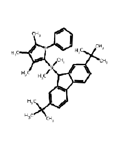 Cc1c(C)c([Si](C)(C)C2c3cc(C(C)(C)C)ccc3-c3ccc(C(C)(C)C)cc32)p(-c2ccccc2)c1C